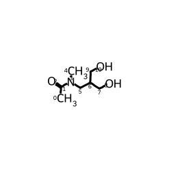 CC(=O)N(C)CC(CO)CO